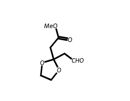 COC(=O)CC1(CC=O)OCCO1